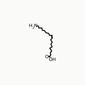 NCCCCCCCC/C=C\CCCCCCCCC(=O)O